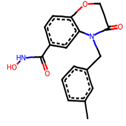 Cc1cccc(CN2C(=O)COc3ccc(C(=O)NO)cc32)c1